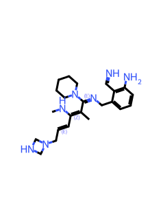 CNC(/C=C/CN1CNC1)=C(C)\C(=N/Cc1cccc(N)c1C=N)N1CCCCC1